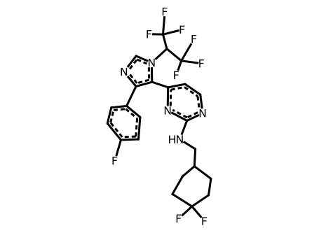 Fc1ccc(-c2ncn(C(C(F)(F)F)C(F)(F)F)c2-c2ccnc(NCC3CCC(F)(F)CC3)n2)cc1